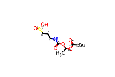 CC(OC(=O)NCCCS(=O)O)OC(=O)C(C)(C)C